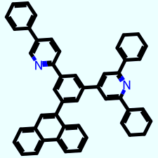 C1=CC(c2cc(-c3cc(-c4ccc(-c5ccccc5)cn4)cc(-c4cc5ccccc5c5ccccc45)c3)cc(C3=CCCC=C3)n2)=CCC1